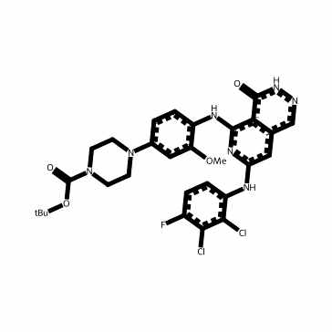 COc1cc(N2CCN(C(=O)OC(C)(C)C)CC2)ccc1Nc1nc(Nc2ccc(F)c(Cl)c2Cl)cc2cn[nH]c(=O)c12